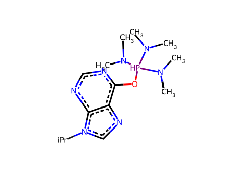 CC(C)n1cnc2c(O[PH](N(C)C)(N(C)C)N(C)C)ncnc21